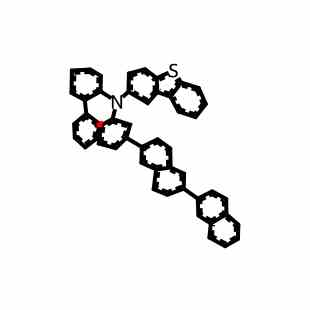 c1ccc(-c2ccccc2N(c2cccc(-c3ccc4cc(-c5ccc6ccccc6c5)ccc4c3)c2)c2ccc3sc4ccccc4c3c2)cc1